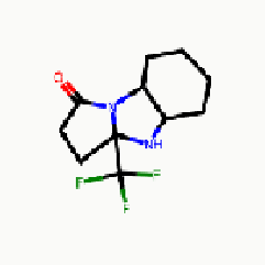 O=C1CCC2(C(F)(F)F)NC3CCCCC3N12